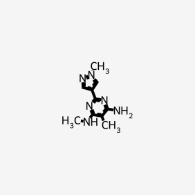 CNc1nc(-c2cnn(C)c2)nc(N)c1C